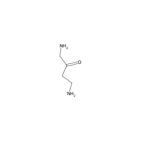 NCCC(=O)CN